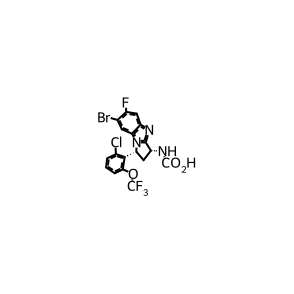 O=C(O)N[C@@H]1C[C@H](c2c(Cl)cccc2OC(F)(F)F)n2c1nc1cc(F)c(Br)cc12